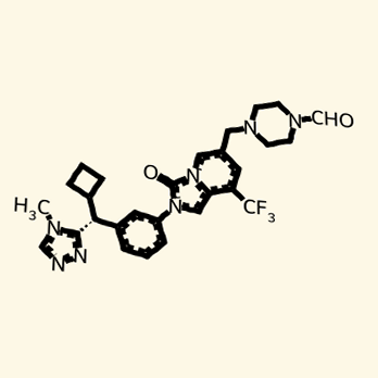 Cn1cnnc1[C@@H](c1cccc(-n2cc3c(C(F)(F)F)cc(CN4CCN(C=O)CC4)cn3c2=O)c1)C1CCC1